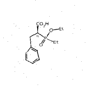 CCOP(=O)(CC)[C@@H](Cc1ccccc1)C(=O)O